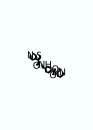 Cc1ncccc1S(=O)(=O)c1ccc(CNC(=O)c2csc3cnccc23)cc1